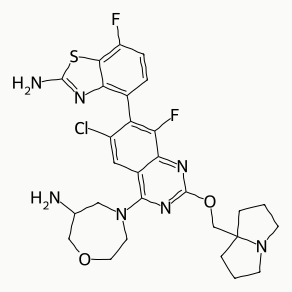 Nc1nc2c(-c3c(Cl)cc4c(N5CCOCC(N)C5)nc(OCC56CCCN5CCC6)nc4c3F)ccc(F)c2s1